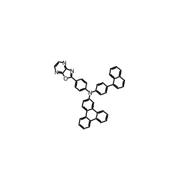 c1ccc2c(-c3ccc(N(c4ccc(-c5nc6nccnc6o5)cc4)c4ccc5c6ccccc6c6ccccc6c5c4)cc3)cccc2c1